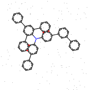 c1ccc(-c2ccc(N(c3ccc(-c4cccc(-c5ccccc5)c4)cc3)c3c(-c4ccccc4)cc(-c4ccccc4)cc3-c3ccccc3)cc2)cc1